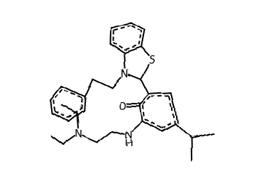 CCN(CC)CCNc1cc(C(C)C)ccc(C2Sc3ccccc3N2CCc2ccccc2)c1=O